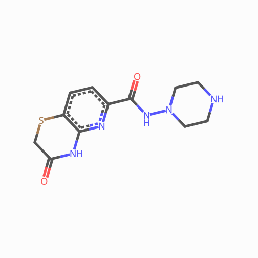 O=C1CSc2ccc(C(=O)NN3CCNCC3)nc2N1